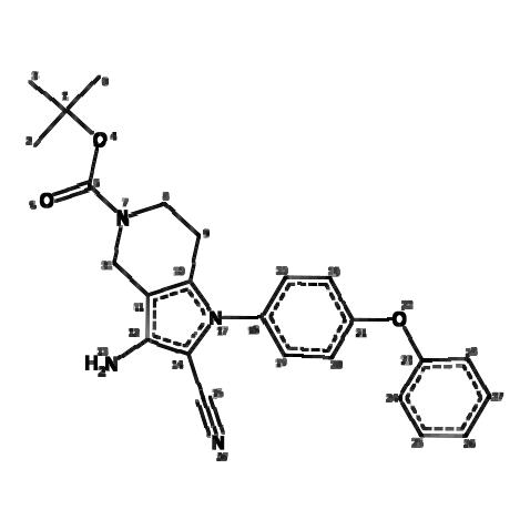 CC(C)(C)OC(=O)N1CCc2c(c(N)c(C#N)n2-c2ccc(Oc3ccccc3)cc2)C1